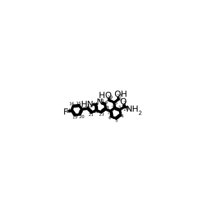 NC(=O)c1cccc(-c2cnc3[nH]c(-c4ccc(F)cc4)cc3c2)c1C(CO)CO